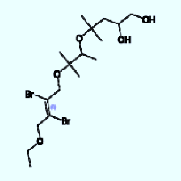 CCOC/C(Br)=C(\Br)COC(C)(C)C(C)OC(C)(C)CC(O)CO